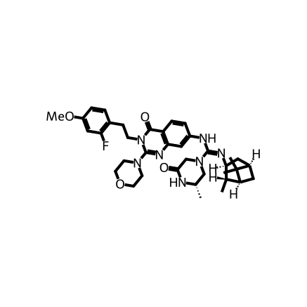 COc1ccc(CCn2c(N3CCOCC3)nc3cc(N/C(=N/[C@H]4C[C@H]5C[C@@H]([C@@H]4C)C5(C)C)N4CC(=O)N[C@@H](C)C4)ccc3c2=O)c(F)c1